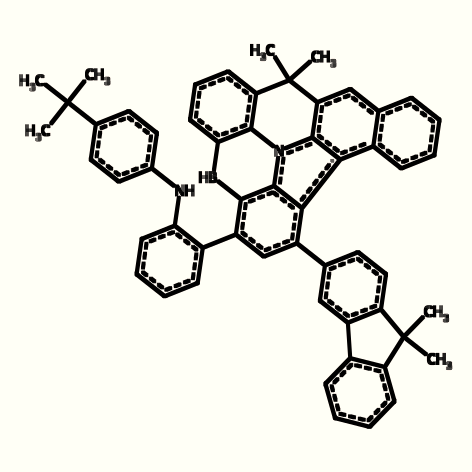 CC(C)(C)c1ccc(Nc2ccccc2-c2cc(-c3ccc4c(c3)-c3ccccc3C4(C)C)c3c4c5ccccc5cc5c4n4c3c2Bc2cccc(c2-4)C5(C)C)cc1